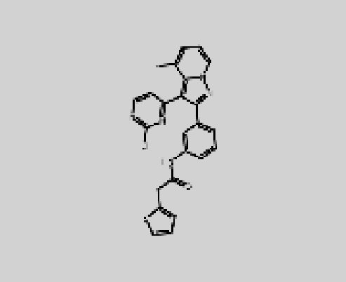 O=C(Cc1cccs1)Nc1cccc(-c2nn3cccc(F)c3c2-c2ccnc(Cl)n2)c1